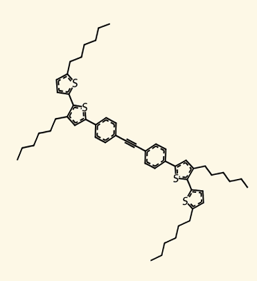 CCCCCCc1ccc(-c2sc(-c3ccc(C#Cc4ccc(-c5cc(CCCCCC)c(-c6ccc(CCCCCC)s6)s5)cc4)cc3)cc2CCCCCC)s1